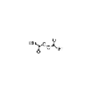 CC(C)C(=O)OOC(=O)C(C)(C)C